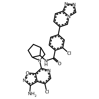 Nc1noc2c(N3CC4CCC3C4NC(=O)c3ccc(-c4ccc5nncn5c4)cc3Cl)ncc(Cl)c12